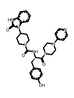 O=C(N[C@H](Cc1ccc(O)cc1)C(=O)N1CCN(c2ccncc2)CC1)N1CCC(n2c(=O)[nH]c3ccccc32)CC1